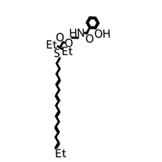 CCC=CCC=CCC=CCC=CCC=CCCCCSC(CC)(CC)C(=O)OCCNC(=O)c1ccccc1O